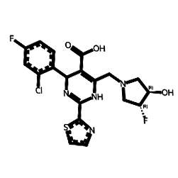 O=C(O)C1=C(CN2C[C@@H](O)[C@H](F)C2)NC(c2nccs2)=NC1c1ccc(F)cc1Cl